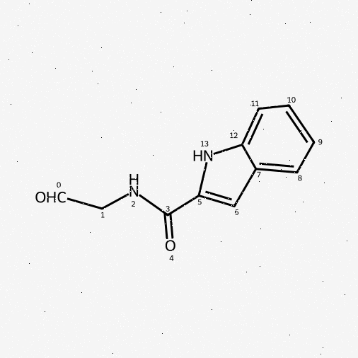 O=CCNC(=O)c1cc2ccccc2[nH]1